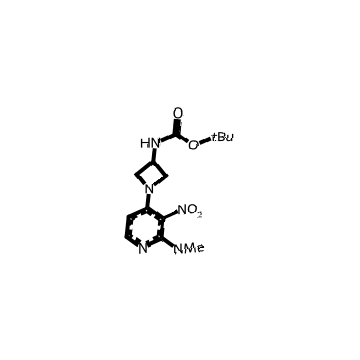 CNc1nccc(N2CC(NC(=O)OC(C)(C)C)C2)c1[N+](=O)[O-]